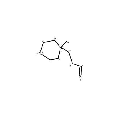 C[N+]1(CSC=S)CCNCC1